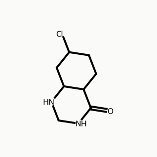 O=C1NCNC2CC(Cl)CCC12